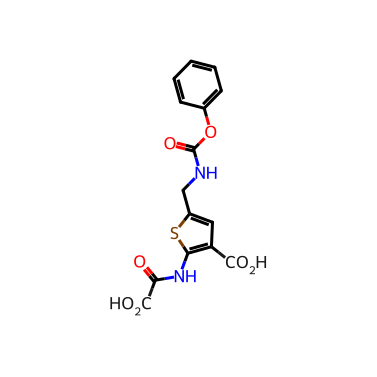 O=C(NCc1cc(C(=O)O)c(NC(=O)C(=O)O)s1)Oc1ccccc1